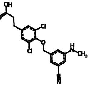 CNc1cc(C#N)cc(COc2c(Cl)cc(CCC(=O)O)cc2Cl)c1